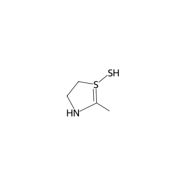 CC1=S(S)CCN1